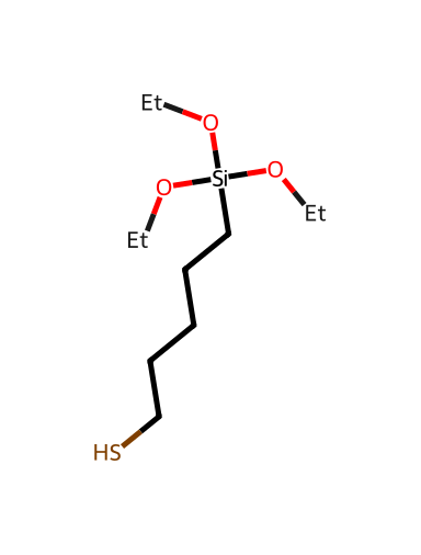 CCO[Si](CCCCCS)(OCC)OCC